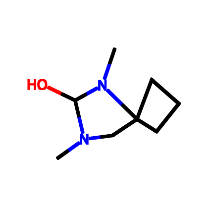 CN1CC2(CCC2)N(C)C1O